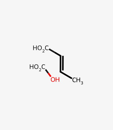 CC=CC(=O)O.O=C(O)O